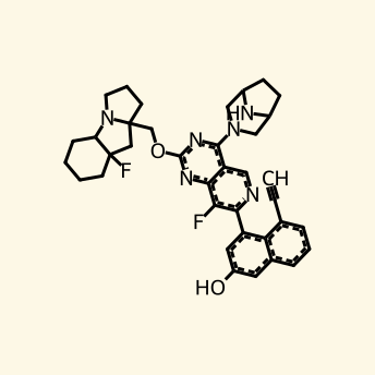 C#Cc1cccc2cc(O)cc(-c3ncc4c(N5CC6CCC(C5)N6)nc(OCC56CCCN5C5CCCCC5(F)C6)nc4c3F)c12